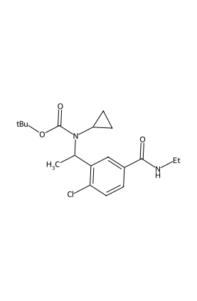 CCNC(=O)c1ccc(Cl)c(C(C)N(C(=O)OC(C)(C)C)C2CC2)c1